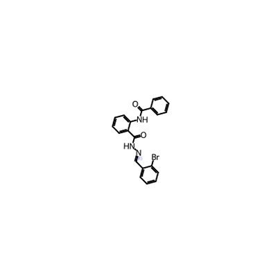 O=C(Nc1ccccc1C(=O)N/N=C/c1ccccc1Br)c1ccccc1